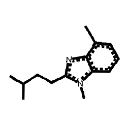 Cc1cccc2c1nc(CCC(C)C)n2C